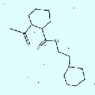 CC(=O)C1CCCCC1C(=O)NCCN1CCCCC1